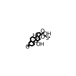 CSCO[C@]1(C(=O)O)CC[C@H]2[C@@H]3CCC4=CC(=O)CC[C@]4(C)[C@H]3[C@@H](O)C[C@@]21C